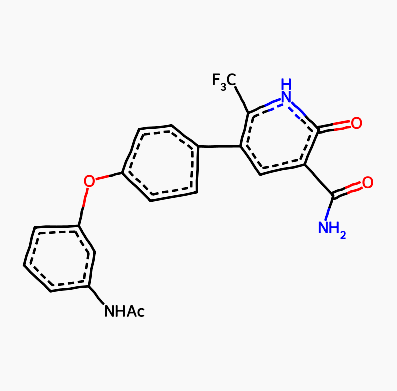 CC(=O)Nc1cccc(Oc2ccc(-c3cc(C(N)=O)c(=O)[nH]c3C(F)(F)F)cc2)c1